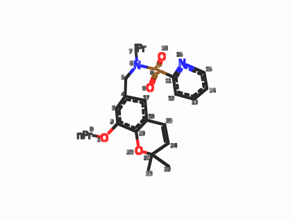 CCCOc1cc(CN(C(C)C)S(=O)(=O)c2ccccn2)cc2c1OC(C)(C)C=C2